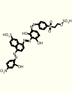 O=[N+]([O-])c1ccc(/N=N/c2ccc(/N=N/c3c(O)ccc(/N=N\c4ccc(S(=O)(=O)CCOS(=O)(=O)O)cc4)c3O)c3cc(S(=O)(=O)O)ccc23)c(O)c1